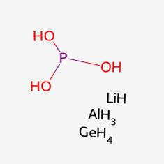 OP(O)O.[AlH3].[GeH4].[LiH]